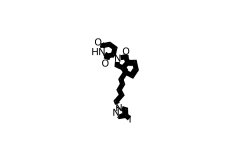 O=C1CCC(N2Cc3c(CCCCCn4cc(I)cn4)cccc3C2=O)C(=O)N1